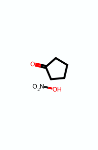 O=C1CCCC1.O=[N+]([O-])O